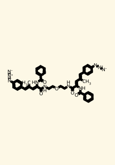 CC(/C=C(\NC(=O)c1ccccc1)C(=O)NCCOCCNC(=O)/C(=C/C(C)=C/c1ccc(N=[N+]=[N-])cc1)NC(=O)c1ccccc1)=C\c1ccc(N=[N+]=[N-])cc1